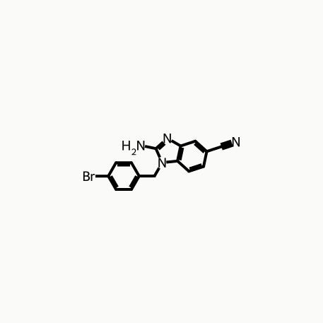 N#Cc1ccc2c(c1)nc(N)n2Cc1ccc(Br)cc1